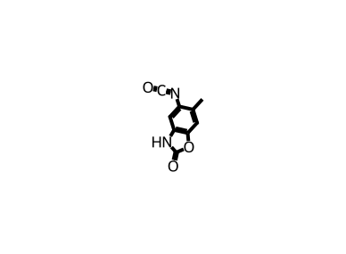 Cc1cc2oc(=O)[nH]c2cc1N=C=O